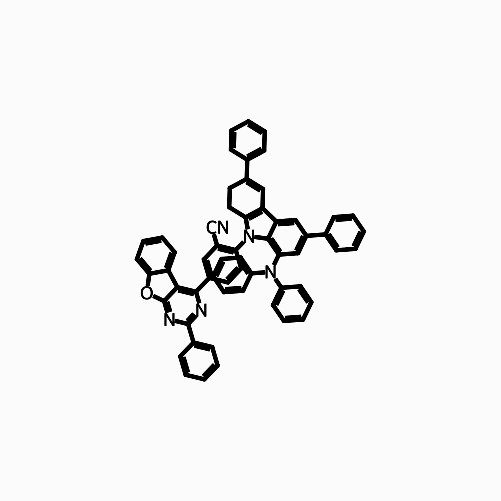 N#Cc1cc(-c2nc(-c3ccccc3)nc3oc4ccccc4c23)ccc1-n1c2c(c3cc(-c4ccccc4)cc(N(c4ccccc4)c4ccccc4)c31)C=C(c1ccccc1)CC2